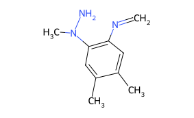 C=Nc1cc(C)c(C)cc1N(C)N